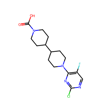 O=C(O)N1CCC(C2CCN(c3nc(Cl)ncc3F)CC2)CC1